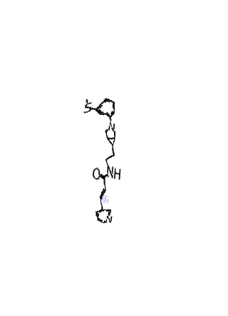 CSc1cccc(N2CC3C(CCNC(=O)/C=C/c4cccnc4)C3C2)c1